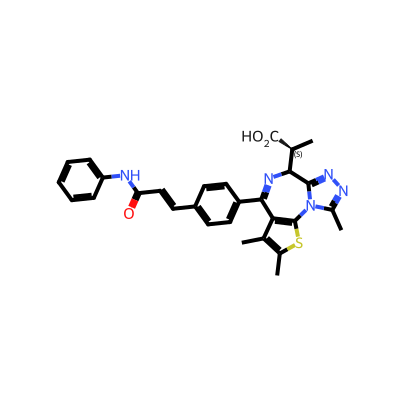 Cc1sc2c(c1C)C(c1ccc(C=CC(=O)Nc3ccccc3)cc1)=NC([C@H](C)C(=O)O)c1nnc(C)n1-2